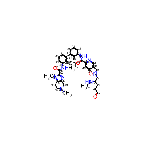 CNC(CCC=O)CN1Cc2cnc(C(=O)Nc3cccc(-c4cccc(NC(=O)c5nc6c(n5C)CCN(C)C6)c4C)c3C)cc2O1